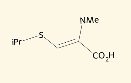 CN/C(=C\SC(C)C)C(=O)O